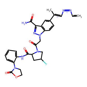 C=C/N=N\C=C(/C)c1ccc2c(c1)c(C(N)=O)nn2CC(=O)N1CC(F)CC1C(=O)Nc1ccccc1N1CCOC1=O